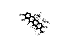 C[C@@H](O)O[C@H]1[C@H]2C(=C(O)[C@]3(O)C(=O)C(C(N)=O)=C(O)[C@@H](N(C)C)[C@H]13)C(=O)c1c(ccc(C(C)(C)C)c1O)[C@@H]2C